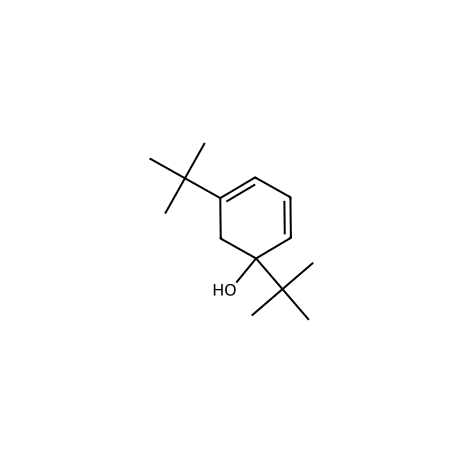 CC(C)(C)C1=CC=CC(O)(C(C)(C)C)C1